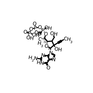 CC#CC1(O)C(CO)[C@@H]([C@H](C)OP(=O)(O)OP(=O)(O)OP(=O)(O)O)O[C@H]1n1cnc2c(=O)[nH]c(N)nc21